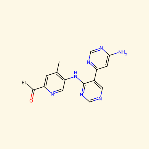 CCC(=O)c1cc(C)c(Nc2ncncc2-c2cc(N)ncn2)cn1